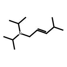 CC(C)C=CCN(C(C)C)C(C)C